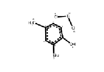 Cc1ccc(O)c(C(C)(C)C)c1.[Cl][Ti][Cl]